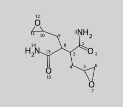 NC(=O)C(CC1CO1)C(CC1CO1)C(N)=O